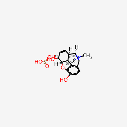 CN1CC[C@]23c4c5ccc(O)c4O[C@H]2[C@@H](O)C=C[C@H]3[C@H]1C5.O=S(O)O